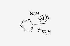 CC(C(=O)O)(C(=O)O)c1ccccc1.[NaH]